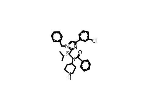 CC(C)[C@H](c1nc(-c2cccc(Cl)c2)cn1Cc1ccccc1)N(C(=O)c1ccccc1)C1CCNCC1